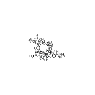 CC[C@H]1OC(=O)[C@H](C)[C@@H](O[C@H]2C[C@@](C)(OC)[C@@H](O)[C@H](C)O2)[C@H](C)[C@@H](O[C@@H]2O[C@H](C)C[C@H](N(C)CCC(=O)N[C@H](CF)Cc3ccc(NC(=N)N)cc3)[C@H]2OC)[C@](C)(O)C[C@@H](C)CN(C)[C@H](C)[C@@H](O)[C@]1(C)O